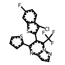 Fc1ccc2c(Cl)c(-c3c(-c4cccs4)nc4c[c]nn4c3C(F)(F)F)sc2c1